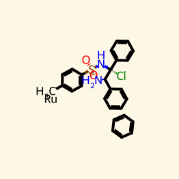 Cc1ccc(S(=O)(=O)N[C@@](Cl)(c2ccccc2)[C@@H](N)c2ccccc2)cc1.[Ru].c1ccccc1